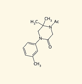 CC(=O)N1CC(=O)N(c2cccc(C)c2)CC1(C)C